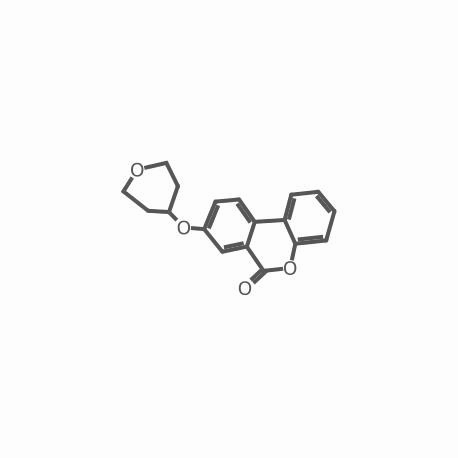 O=c1oc2ccccc2c2ccc(OC3CCOCC3)cc12